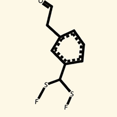 O=CCc1cccc(C(SF)SF)c1